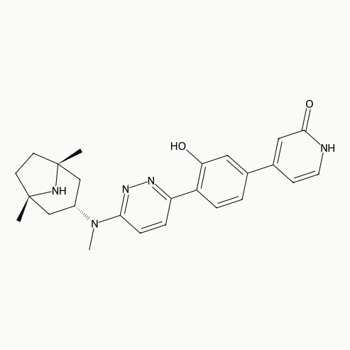 CN(c1ccc(-c2ccc(-c3cc[nH]c(=O)c3)cc2O)nn1)[C@@H]1C[C@]2(C)CC[C@](C)(C1)N2